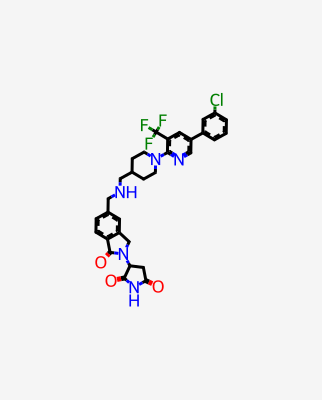 O=C1CC(N2Cc3cc(CNCC4CCN(c5ncc(-c6cccc(Cl)c6)cc5C(F)(F)F)CC4)ccc3C2=O)C(=O)N1